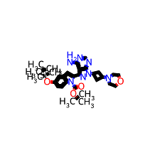 CC(C)(C)OC(=O)n1c(-c2nn(C3CC(N4CCOCC4)C3)c3ncnc(N)c23)cc2cc(O[Si](C)(C)C(C)(C)C)ccc21